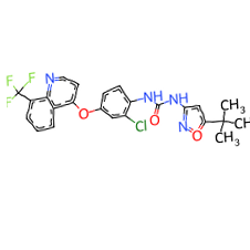 CC(C)(C)c1cc(NC(=O)Nc2ccc(Oc3ccnc4c(C(F)(F)F)cccc34)cc2Cl)no1